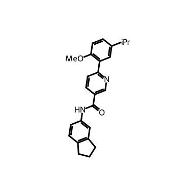 COc1ccc(C(C)C)cc1-c1ccc(C(=O)Nc2ccc3c(c2)CCC3)cn1